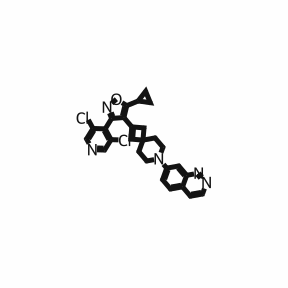 Clc1cncc(Cl)c1-c1noc(C2CC2)c1C1=CC2(CCN(c3ccc4ccnnc4c3)CC2)C1